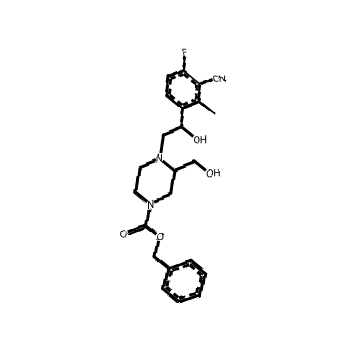 Cc1c(C(O)CN2CCN(C(=O)OCc3ccccc3)CC2CO)ccc(F)c1C#N